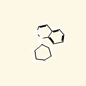 C1=Cc2ccccc2OO1.C1CCCCC1